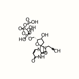 C#CCN[C@]1(n2ccc(=O)[nH]c2=O)C[C@H](O)[C@@H](COP(=O)(O)OP(=O)(O)OP(=O)(O)O)O1